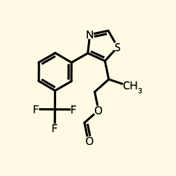 CC(COC=O)c1scnc1-c1cccc(C(F)(F)F)c1